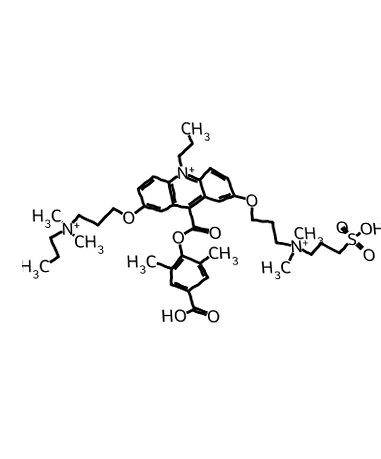 CCC[n+]1c2ccc(OCCC[N+](C)(C)CCC)cc2c(C(=O)Oc2c(C)cc(C(=O)O)cc2C)c2cc(OCCC[N+](C)(C)CCCS(=O)(=O)O)ccc21